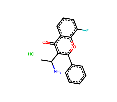 CC(N)c1c(-c2ccccc2)oc2c(F)cccc2c1=O.Cl